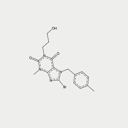 Cc1ccc(Cn2c(Br)nc3c2c(=O)n(CCCO)c(=O)n3C)cc1